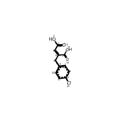 O=C(O)C=C(Cc1ccc(Cl)cc1)C(=O)O